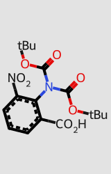 CC(C)(C)OC(=O)N(C(=O)OC(C)(C)C)c1c(C(=O)O)cccc1[N+](=O)[O-]